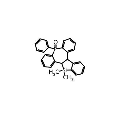 C[Si]1(C)c2ccccc2C2c3ccccc3P(=O)(c3ccccc3)c3ccccc3C21